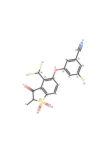 CC1C(=O)c2c(ccc(Oc3cc(F)cc(C#N)c3)c2C(F)F)S1(=O)=O